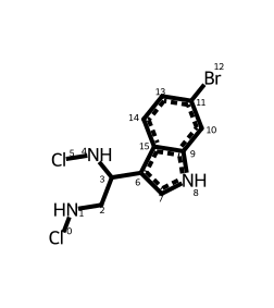 ClNCC(NCl)c1c[nH]c2cc(Br)ccc12